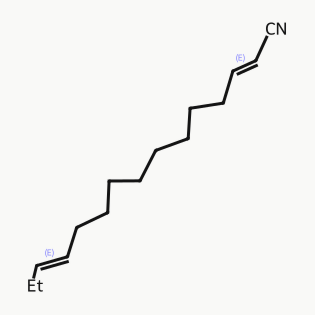 CC/C=C/CCCCCCCC/C=C/C#N